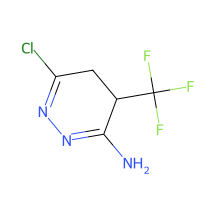 NC1=NN=C(Cl)CC1C(F)(F)F